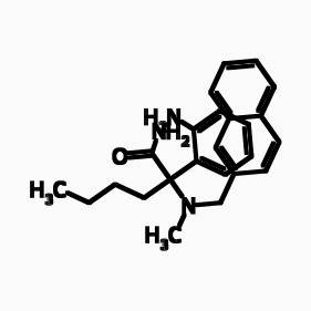 CCCCC(C(N)=O)(c1ccccc1N)N(C)Cc1ccc2ccccc2c1